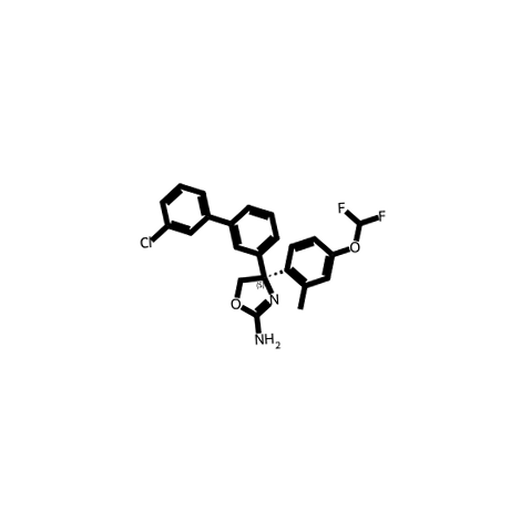 Cc1cc(OC(F)F)ccc1[C@@]1(c2cccc(-c3cccc(Cl)c3)c2)COC(N)=N1